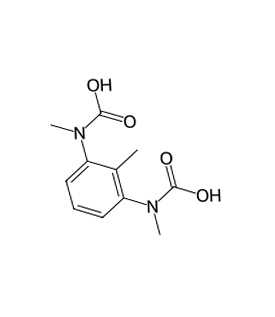 Cc1c(N(C)C(=O)O)cccc1N(C)C(=O)O